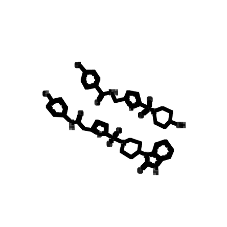 O=C(Cc1ccc(S(=O)(=O)N2CCC(n3c(=O)[nH]c4ccccc43)CC2)s1)Nc1ccc(Cl)cc1.O=C(NCc1ccc(S(=O)(=O)N2CCC(O)CC2)s1)c1ccc(Cl)cc1